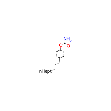 CCCCCCCCCCc1ccc(OC(N)=O)cc1